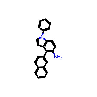 Nc1ccc2c(ccn2-c2ccccc2)c1-c1ccc2ccccc2c1